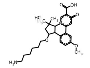 COc1ccc2c(c1)-c1cc(=O)c(C(=O)O)cn1C1C2C(OCCCCCCN)CC1(C)C.Cl